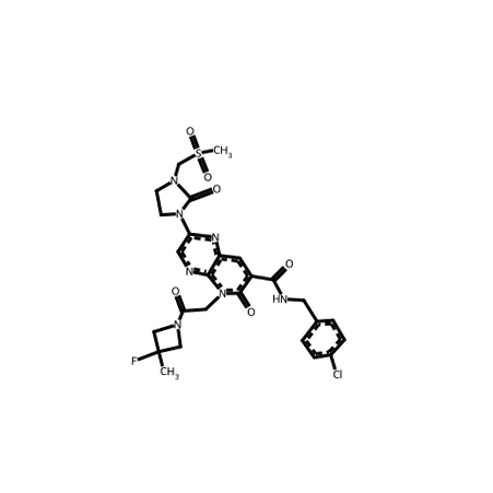 CC1(F)CN(C(=O)Cn2c(=O)c(C(=O)NCc3ccc(Cl)cc3)cc3nc(N4CCN(CS(C)(=O)=O)C4=O)cnc32)C1